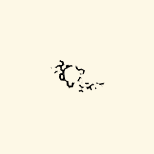 CCn1c(-c2cccnc2[C@H](C)OC)c2c3cc(ccc31)-c1cc(O)cc(c1)C[C@H](NC(=O)[C@H](C(C)C)N1CC[C@]3(CCCN(C(=O)[C@H]4CN4)C3)C1=O)C(=O)N1CCC[C@H](N1)C(=O)OCC(C)(C)C2